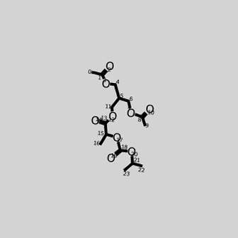 CC(=O)OCC(COC(C)=O)COC(=O)C(C)OC(=O)OC(C)C